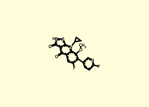 COc1c(-c2ccc(F)nc2)c(F)cc2c(=O)c3c(=O)[nH]sc3n(C3CC3)c12